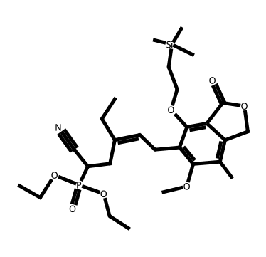 CCOP(=O)(OCC)C(C#N)CC(=CCc1c(OC)c(C)c2c(c1OCC[Si](C)(C)C)C(=O)OC2)CC